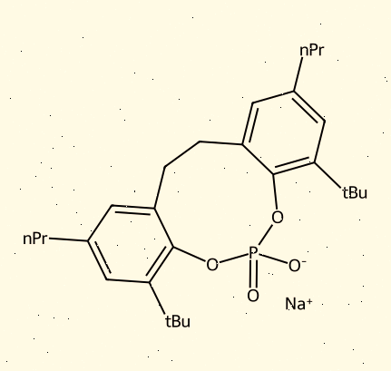 CCCc1cc2c(c(C(C)(C)C)c1)OP(=O)([O-])Oc1c(cc(CCC)cc1C(C)(C)C)CC2.[Na+]